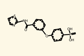 C=P(O)(O)c1ccc(Oc2cccc(C(=O)Nc3nccs3)c2)cc1